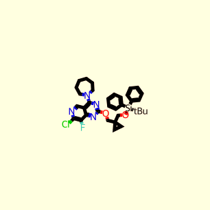 CC(C)(C)[Si](OCC1(COc2nc(N3CCCCCC3)c3cnc(Cl)c(F)c3n2)CC1)(c1ccccc1)c1ccccc1